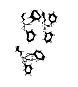 C=CCOP(Oc1ccccc1)Oc1ccccc1.C=CCOP(Oc1ccccc1)Oc1ccccc1.C=CCO[PH](N)(Oc1ccccc1)Oc1ccccc1